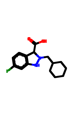 O=C(O)C1c2ccc(F)cc2NN1CC1CCCCC1